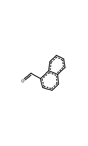 O=Cc1cccc2[c]cccc12